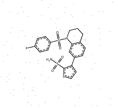 NS(=O)(=O)c1sccc1-c1ccc2c(c1)N(S(=O)(=O)c1ccc(F)cc1)CCC2